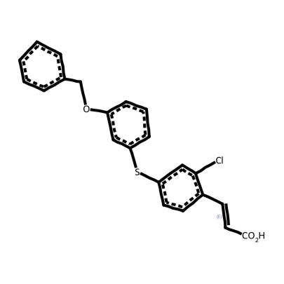 O=C(O)/C=C/c1ccc(Sc2cccc(OCc3ccccc3)c2)cc1Cl